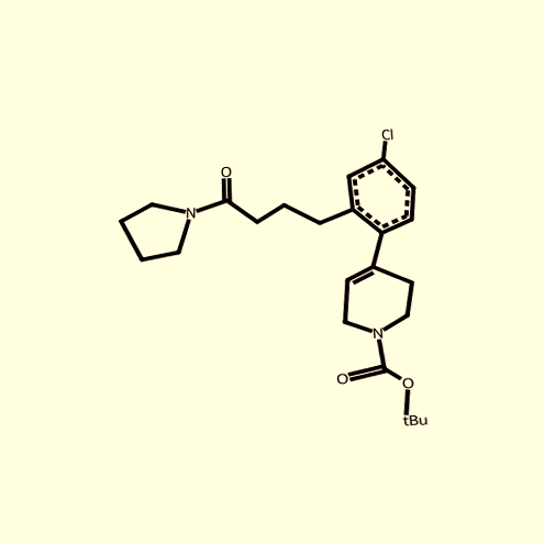 CC(C)(C)OC(=O)N1CC=C(c2ccc(Cl)cc2CCCC(=O)N2CCCC2)CC1